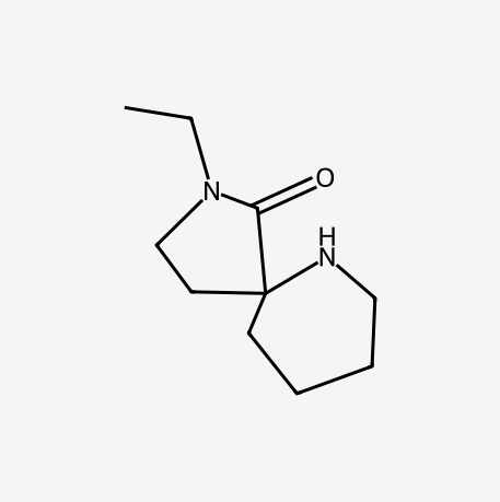 CCN1CCC2(CCCCN2)C1=O